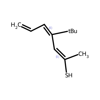 C=C/C=C(\C=C(/C)S)C(C)(C)C